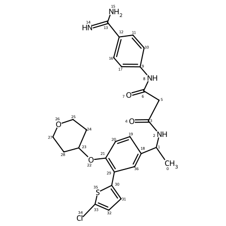 CC(NC(=O)CC(=O)Nc1ccc(C(=N)N)cc1)c1ccc(OC2CCOCC2)c(-c2ccc(Cl)s2)c1